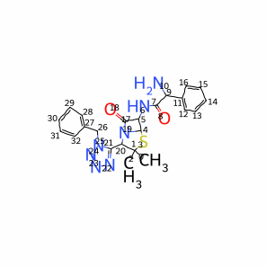 CC1(C)SC2C(NC(=O)C(N)c3ccccc3)C(=O)N2C1c1nnnn1Cc1ccccc1